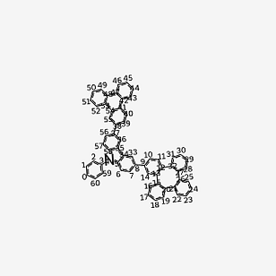 c1ccc(-n2c3ccc(-c4ccc5c(c4)-c4ccccc4-c4ccccc4-c4ccccc4-5)cc3c3cc(-c4ccc5c6ccccc6c6ccccc6c5c4)ccc32)cc1